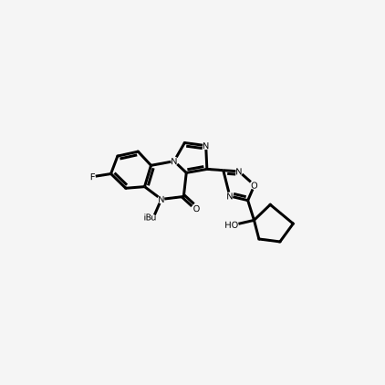 CCC(C)n1c(=O)c2c(-c3noc(C4(O)CCCC4)n3)ncn2c2ccc(F)cc21